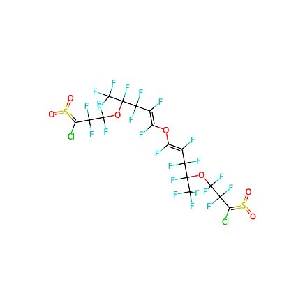 O=S(=O)=C(Cl)C(F)(F)C(F)(F)OC(F)(C(F)(F)F)C(F)(F)C(F)=C(F)OC(F)=C(F)C(F)(F)C(F)(OC(F)(F)C(F)(F)C(Cl)=S(=O)=O)C(F)(F)F